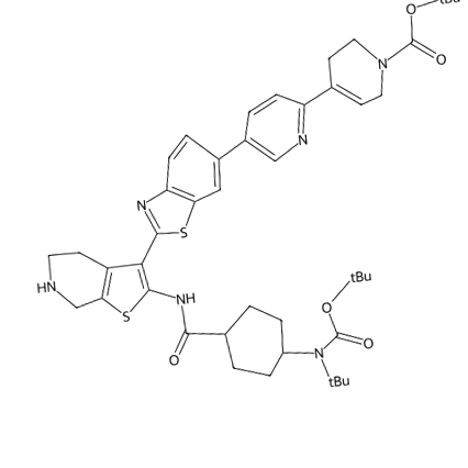 CC(C)(C)OC(=O)N1CC=C(c2ccc(-c3ccc4nc(-c5c(NC(=O)C6CCC(N(C(=O)OC(C)(C)C)C(C)(C)C)CC6)sc6c5CCNC6)sc4c3)cn2)CC1